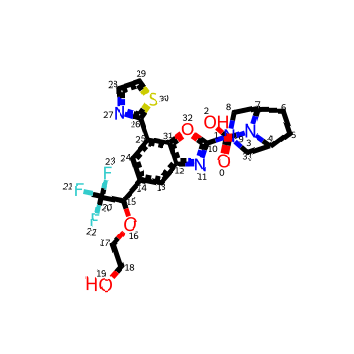 O=C(O)N1C2CCC1CN(c1nc3cc(C(OCCO)C(F)(F)F)cc(-c4nccs4)c3o1)C2